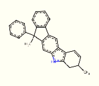 CC1C=Cc2c([nH]c3cc4c(cc23)-c2ccccc2C4(C)c2ccccc2)C1